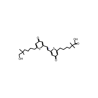 CC(C)(CO)CCCCc1cc(=O)cc(/C=C/c2cc(=O)cc(CCCCC(C)(C)C(=O)O)s2)s1